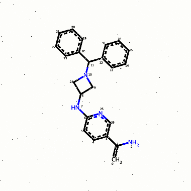 C=C(N)c1ccc(NC2CN(C(c3ccccc3)c3ccccc3)C2)nc1